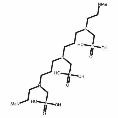 [CH2]NCCN(CCCN(CCCN(CCN[CH2])CP(=O)(O)O)CP(=O)(O)O)CP(=O)(O)O